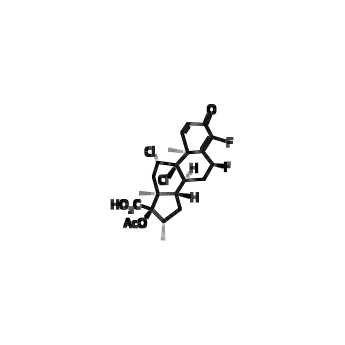 CC(=O)O[C@]1(C(=O)O)[C@@H](C)C[C@H]2[C@@H]3C[C@H](F)C4=C(F)C(=O)C=C[C@]4(C)[C@@]3(Cl)[C@@H](Cl)C[C@@]21C